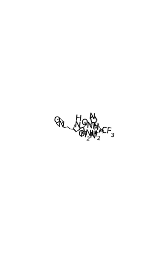 Nc1oc2c(c1C(=O)Nc1cnccc1N1C[C@@H](N)C[C@@H](C(F)(F)F)C1)NCC(CCCN1CCOCC1)=C2